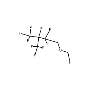 FCOCC(F)(F)C(F)(C(F)(F)F)C(F)(F)F